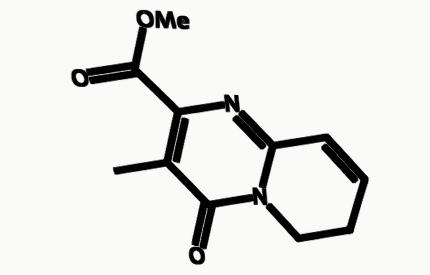 COC(=O)c1nc2n(c(=O)c1C)CCC=C2